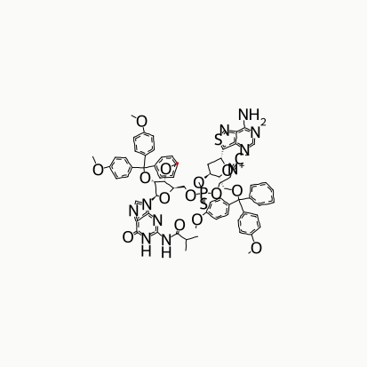 [C-]#[N+]CCOP(=S)(OC[C@H]1O[C@@H](n2cnc3c(=O)[nH]c(NC(=O)C(C)C)nc32)[C@H](OC(c2ccccc2)(c2ccc(OC)cc2)c2ccc(OC)cc2)[C@@H]1OC)O[C@H]1C[C@H](c2snc3c(N)ncnc23)O[C@@H]1COC(c1ccccc1)(c1ccc(OC)cc1)c1ccc(OC)cc1